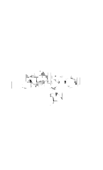 Cc1cnc(-c2cc(OC3CCCNC3)cc(C(=O)NC(C)c3cnc(C(F)(F)F)nc3)c2)s1